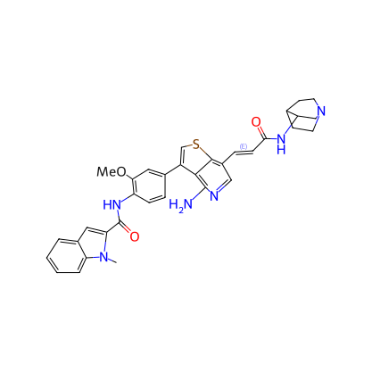 COc1cc(-c2csc3c(/C=C/C(=O)NC4CN5CCC4CC5)cnc(N)c23)ccc1NC(=O)c1cc2ccccc2n1C